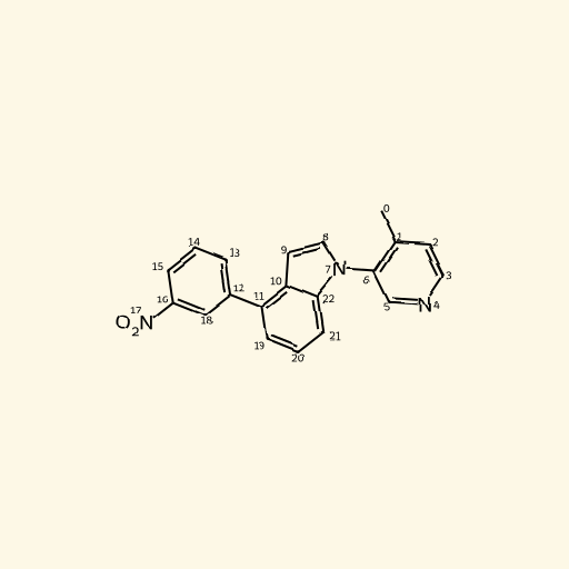 Cc1ccncc1-n1ccc2c(-c3cccc([N+](=O)[O-])c3)cccc21